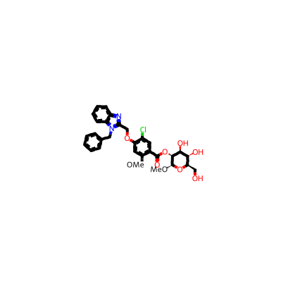 COc1cc(OCc2nc3ccccc3n2Cc2ccccc2)c(Cl)cc1C(=O)O[C@H]1[C@@H](OC)O[C@H](CO)[C@@H](O)[C@@H]1O